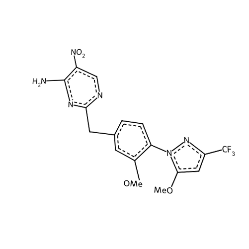 COc1cc(Cc2ncc([N+](=O)[O-])c(N)n2)ccc1-n1nc(C(F)(F)F)cc1OC